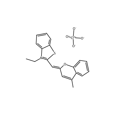 CC[n+]1c(C=C2C=C(C)c3ccccc3O2)sc2ccccc21.[O-][Cl+3]([O-])([O-])[O-]